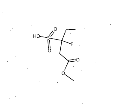 CCC(F)(CC(=O)OC)S(=O)(=O)O